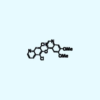 COc1cc2nccc(Oc3c(C)cc4ncccc4c3Cl)c2cc1OC